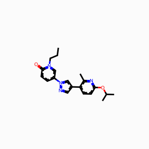 CCCn1cc(-n2cc(-c3ccc(OC(C)C)nc3C)cn2)ccc1=O